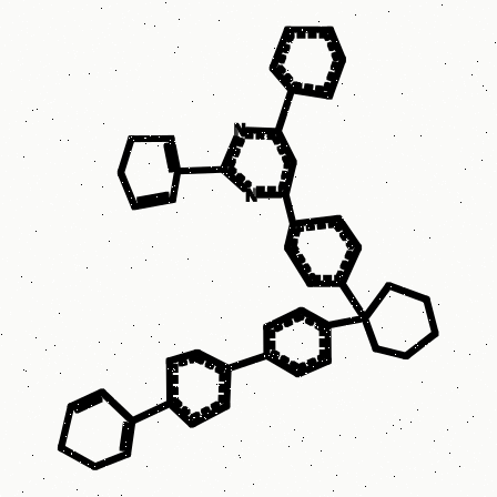 C1=CC(c2ccc(-c3ccc(C4(c5ccc(-c6cc(-c7ccccc7)nc(C7=CCCC=C7)n6)cc5)CCCCC4)cc3)cc2)=CCC1